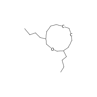 CCCCC1CCCCCCCCC(CCCC)COC1